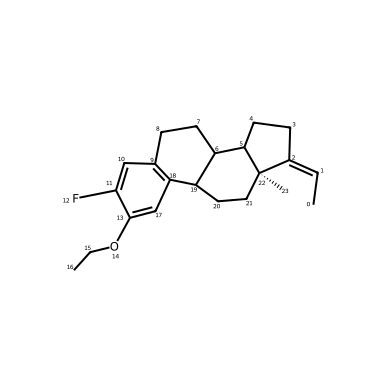 C/C=C1/CCC2C3CCc4cc(F)c(OCC)cc4C3CC[C@]12C